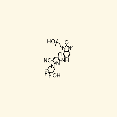 C[C@@H]1CN(c2nc(Nc3ccc4c(c3)n(CCC(C)(C)O)c(=O)n4C)c(Cl)cc2C#N)C[C@H](O)C1(F)F